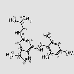 COc1cc(O)c(CNc2nc(NCC(C)O)nc3c2nnn3C)c(O)c1